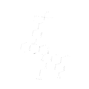 CC(=O)c1ccc(Cl)cc1-c1cc(=O)n([C@@H](Cc2ccccc2)C(=O)Nc2ccc(C(=O)OC(C)(C)C)cc2)nc1OCC1CC1